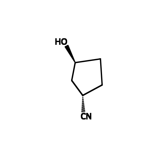 N#C[C@H]1CC[C@H](O)C1